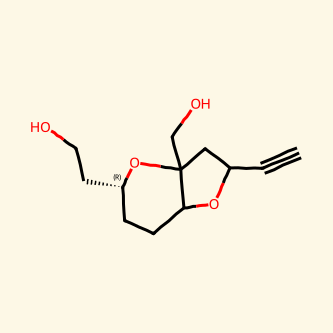 C#CC1CC2(CO)O[C@@H](CCO)CCC2O1